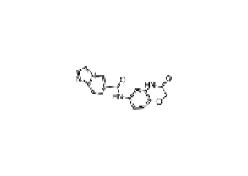 O=C1COc2ccc(NC(=O)c3ccc4nccn4c3)cc2N1